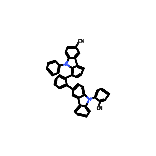 N#Cc1ccc2c(c1)c1cccc(-c3ccccc3-c3ccc4c(c3)c3ccccc3n4-c3ccccc3C#N)c1n2-c1ccccc1